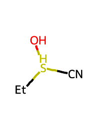 CC[SH](O)C#N